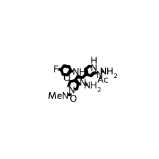 CNC(=O)N1CC(=O)c2c(NC3=CCC(F)C=C3)c(C3=CCNC(N(N)C(C)=O)=C3)n(N)c2C1